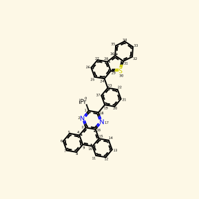 CC(C)c1nc2c3ccccc3c3ccccc3c2nc1-c1cccc(-c2cccc3c2sc2ccccc23)c1